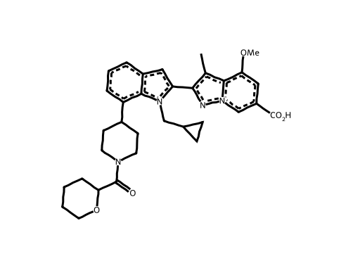 COc1cc(C(=O)O)cn2nc(-c3cc4cccc(C5CCN(C(=O)C6CCCCO6)CC5)c4n3CC3CC3)c(C)c12